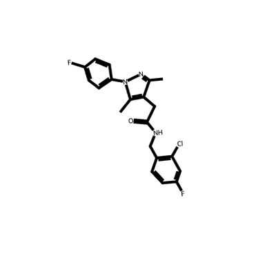 Cc1nn(-c2ccc(F)cc2)c(C)c1CC(=O)NCc1ccc(F)cc1Cl